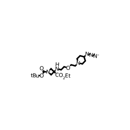 CCOC(=O)C1(NCCOCCN2CCC(N=[N+]=[N-])CC2)CN(C(=O)OC(C)(C)C)C1